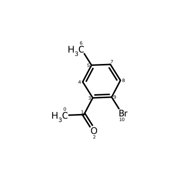 CC(=O)c1cc(C)ccc1Br